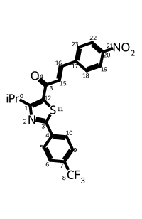 CC(C)c1nc(-c2ccc(C(F)(F)F)cc2)sc1C(=O)C=Cc1ccc([N+](=O)[O-])cc1